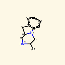 CCC1CN2c3ccccc3CC2CN1